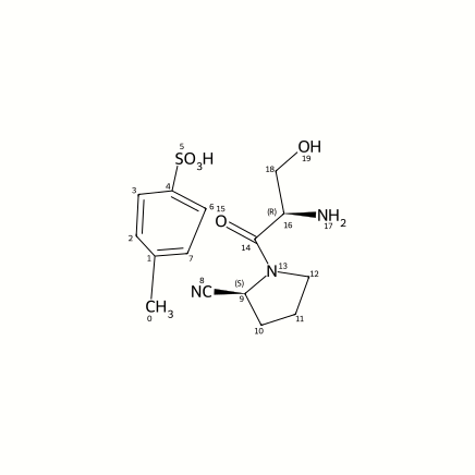 Cc1ccc(S(=O)(=O)O)cc1.N#C[C@@H]1CCCN1C(=O)[C@H](N)CO